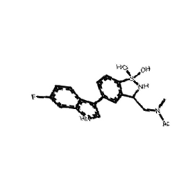 CC(=O)N(C)CC1NS(O)(O)c2ccc(-c3c[nH]c4cc(F)ccc34)cc21